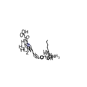 CCCCCNc1nc(N)nc2ccn(Cc3ccc(CN4CCN(CCN(N)/C=C(\N)CNC(=O)CCC(=O)O)CC4)cc3)c12